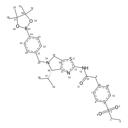 CCS(=O)(=O)c1ccc(CC(=O)Nc2nc3c(s2)CN(Cc2ccc(B4OC(C)(C)C(C)(C)O4)cc2)[C@H]3C(C)C)cc1